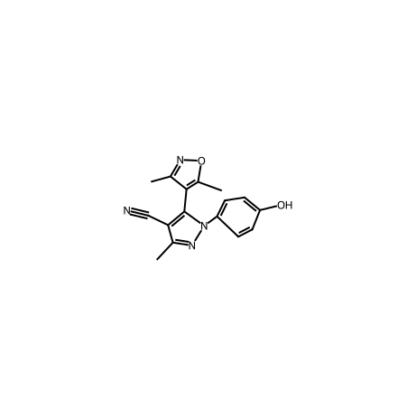 Cc1nn(-c2ccc(O)cc2)c(-c2c(C)noc2C)c1C#N